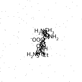 CCON=C(C(=O)NC1C(=O)N2CC(CSc3nc(N)cc4n3nc(N)[n+]4C)(C(=O)[O-])CS[C@H]12)c1csc(N)n1